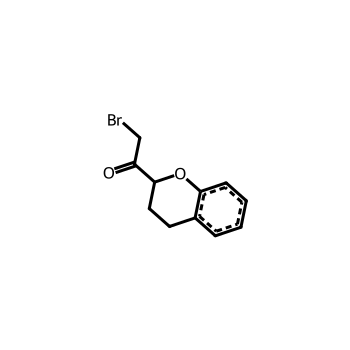 O=C(CBr)C1CCc2ccccc2O1